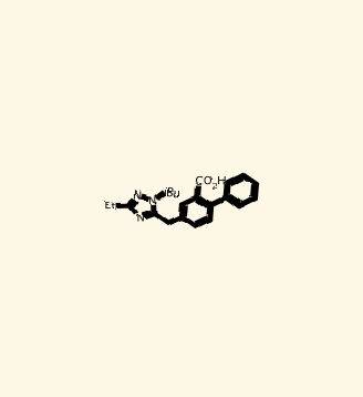 CCc1nc(Cc2ccc(-c3ccccc3)c(C(=O)O)c2)n(C(C)CC)n1